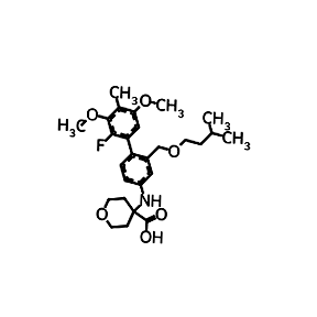 COc1cc(-c2ccc(NC3(C(=O)O)CCOCC3)cc2COCCC(C)C)c(F)c(OC)c1C